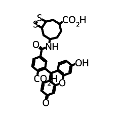 O=C(NC1CCC(C(=O)O)CC2SSC2C1)c1ccc(C(=O)O)c(-c2c3ccc(=O)cc-3oc3cc(O)ccc23)c1